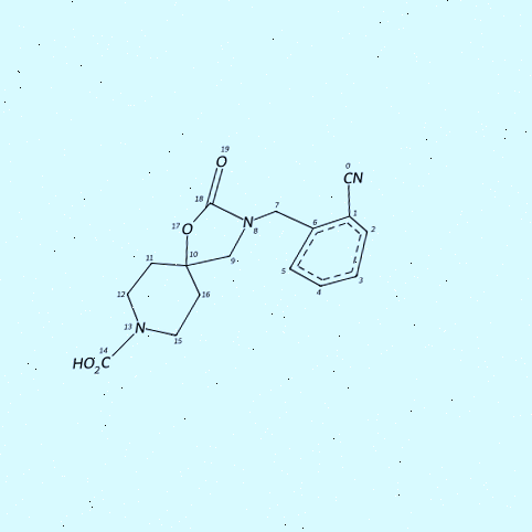 N#Cc1ccccc1CN1CC2(CCN(C(=O)O)CC2)OC1=O